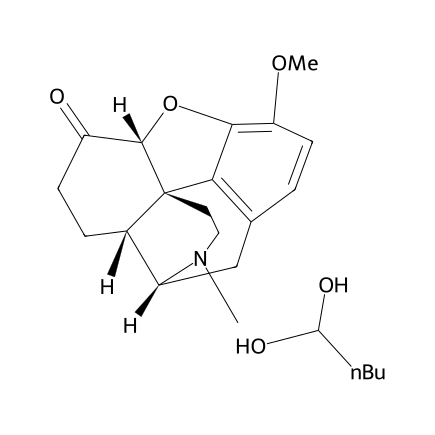 CCCCC(O)O.COc1ccc2c3c1O[C@H]1C(=O)CC[C@H]4[C@@H](C2)N(C)CC[C@]314